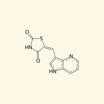 O=C1NC(=O)C(=Cc2c[nH]c3cccnc23)S1